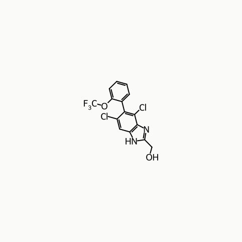 OCc1nc2c(Cl)c(-c3ccccc3OC(F)(F)F)c(Cl)cc2[nH]1